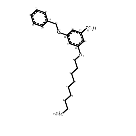 CCCCCCCCCCCCCCCCCCOc1cc(OCc2ccccc2)cc(C(=O)O)c1